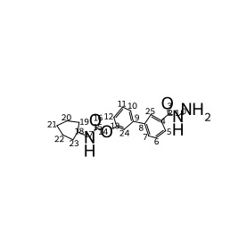 NNC(=O)c1cccc(-c2cccc(OC(=O)NC3CCCCC3)c2)c1